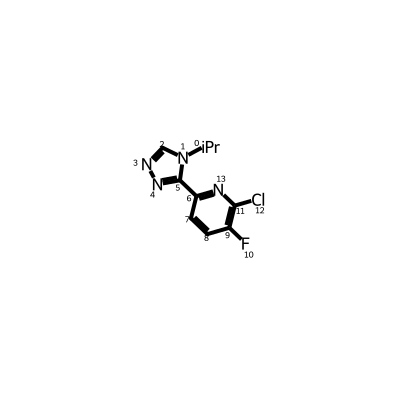 CC(C)n1cnnc1-c1ccc(F)c(Cl)n1